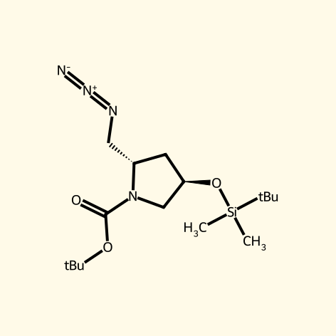 CC(C)(C)OC(=O)N1C[C@H](O[Si](C)(C)C(C)(C)C)C[C@H]1CN=[N+]=[N-]